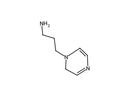 NCCCN1C=CN=CC1